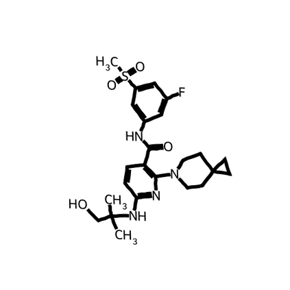 CC(C)(CO)Nc1ccc(C(=O)Nc2cc(F)cc(S(C)(=O)=O)c2)c(N2CCC3(CC2)CC3)n1